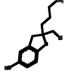 CCCCC1(CCl)Cc2cc(O)ccc2O1